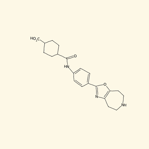 O=C(O)C1CCC(C(=O)Nc2ccc(-c3nc4c(o3)CCNCC4)cc2)CC1